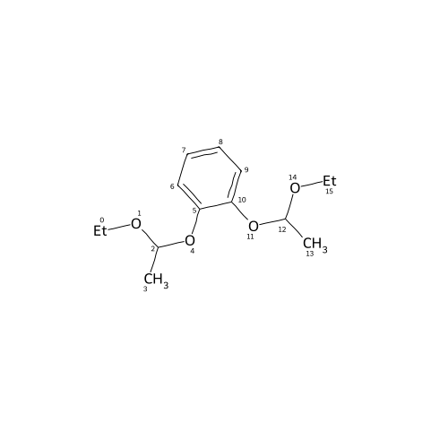 CCOC(C)Oc1ccccc1OC(C)OCC